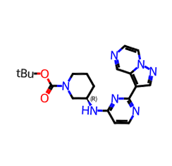 CC(C)(C)OC(=O)N1CCC[C@@H](Nc2ccnc(-c3cnn4ccncc34)n2)C1